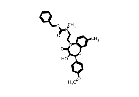 COc1ccc([C@@H]2Sc3cc(C)ccc3N(CCN(C)C(=O)OCc3ccccc3)C(=O)[C@@H]2O)cc1